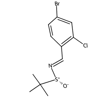 CC(C)(C)[S@@+]([O-])N=Cc1ccc(Br)cc1Cl